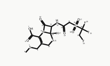 CSCC1=C(C(=O)O)N2C(=O)C(NC(=O)CS(=O)(=O)C(F)(F)CF)[C@@H]2SC1